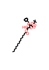 CCCCCCCCCCCCCCCC(=O)OC[C@H](O)[C@H]1OC(=O)C(OC(=O)C(C)(C)C)=C1OCc1ccccc1